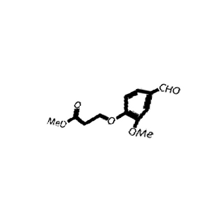 COC(=O)CCOc1ccc(C=O)cc1OC